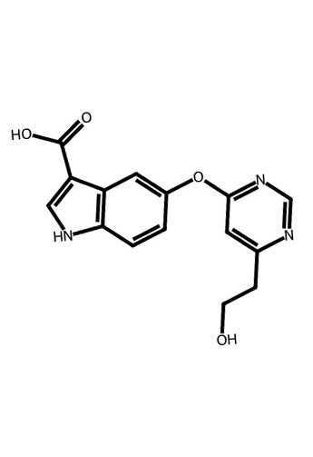 O=C(O)c1c[nH]c2ccc(Oc3cc(CCO)ncn3)cc12